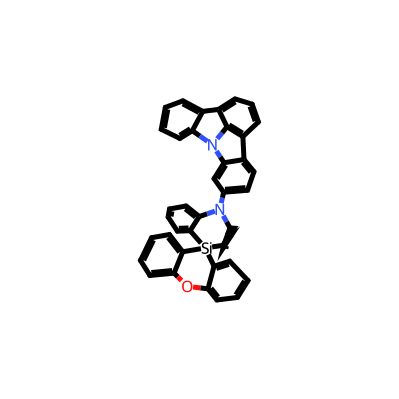 c1ccc2c(c1)Oc1ccccc1[Si]21c2ccccc2N(c2ccc3c4cccc5c6ccccc6n(c3c2)c54)c2ccccc21